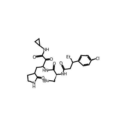 CCC(CC(=O)N[C@@H](CC(C)(C)C)C(=O)NC(CC1CCNC1=O)C(=O)C(=O)NC1CC1)c1ccc(Cl)cc1